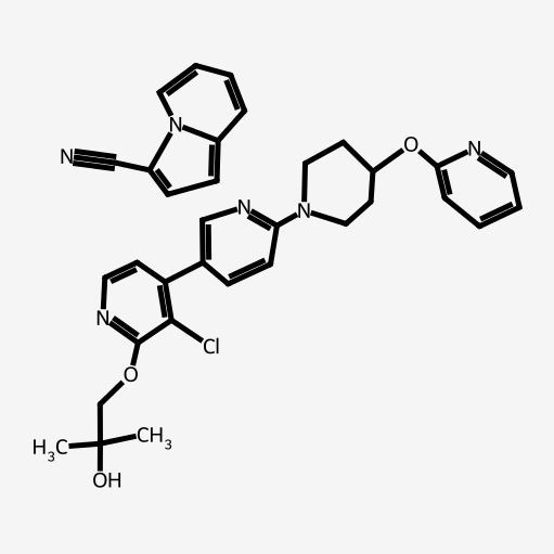 CC(C)(O)COc1nccc(-c2ccc(N3CCC(Oc4ccccn4)CC3)nc2)c1Cl.N#Cc1ccc2ccccn12